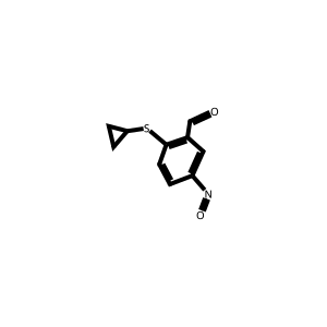 O=Cc1cc(N=O)ccc1SC1CC1